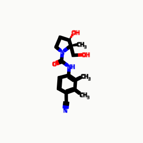 Cc1c(C#N)ccc(NC(=O)N2CC[C@H](O)[C@]2(C)CO)c1C